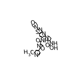 Cc1cc(-c2nc(C(=O)Nc3cc4sc(N5CCOCC5)nc4nc3N3CCC(NC(=O)O)C3)co2)ccn1